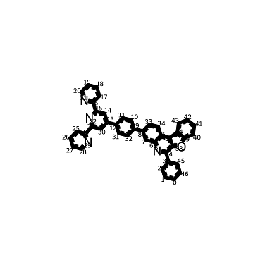 c1ccc(-c2nc3cc(-c4ccc(-c5cc(-c6ccccn6)nc(-c6ccccn6)c5)cc4)ccc3c3c2oc2ccccc23)cc1